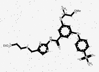 CCOC(=O)CCSCc1csc(NC(=O)c2cc(Oc3ccc(S(C)(=O)=O)cc3)cc(O[C@@H](C)COC)c2)n1